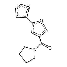 O=C(c1cc(-c2cccs2)on1)N1CCCC1